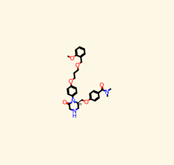 COc1ccccc1COCCCOc1ccc(N2C(=O)CNC[C@@H]2COc2ccc(C(=O)N(C)C)cc2)cc1